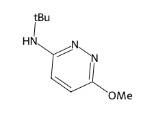 COc1ccc(NC(C)(C)C)nn1